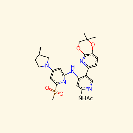 CC(=O)Nc1cc(Nc2cc(N3CC[C@@H](C)C3)cc(S(C)(=O)=O)n2)c(-c2ccc3c(n2)OCC(C)(C)O3)cn1